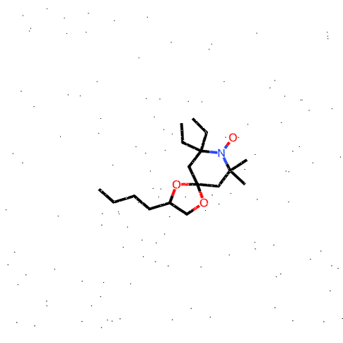 CCCCC1COC2(CC(C)(C)N([O])C(CC)(CC)C2)O1